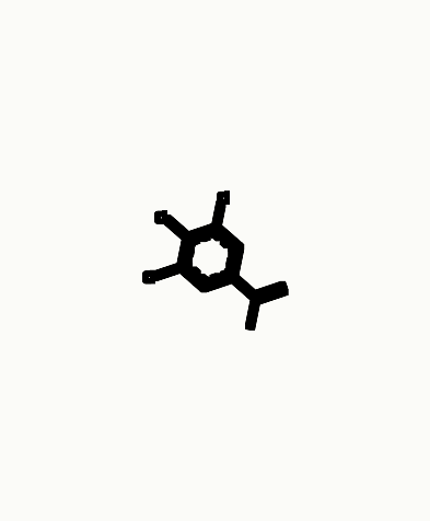 C=C(C)c1cc(Cl)c(Cl)c(Cl)c1